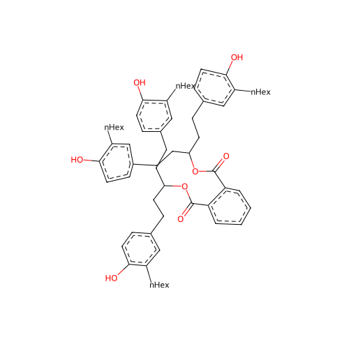 CCCCCCc1cc(CCC(CCc2ccc(O)c(CCCCCC)c2)OC(=O)c2ccccc2C(=O)OC(CCc2ccc(O)c(CCCCCC)c2)CCc2ccc(O)c(CCCCCC)c2)ccc1O